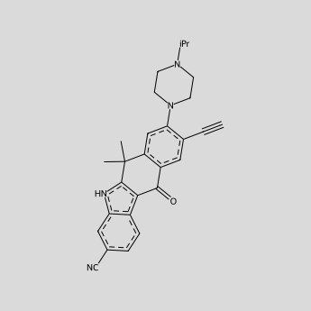 C#Cc1cc2c(cc1N1CCN(C(C)C)CC1)C(C)(C)c1[nH]c3cc(C#N)ccc3c1C2=O